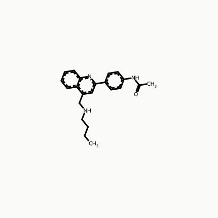 CCCCNCc1cc(-c2ccc(NC(C)=O)cc2)nc2ccccc12